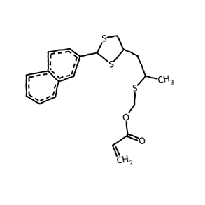 C=CC(=O)OCSC(C)CC1CSC(c2ccc3ccccc3c2)S1